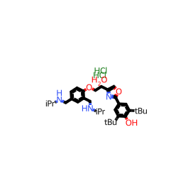 CC(C)NCc1ccc(OCCc2coc(-c3cc(C(C)(C)C)c(O)c(C(C)(C)C)c3)n2)c(CNC(C)C)c1.Cl.Cl.O